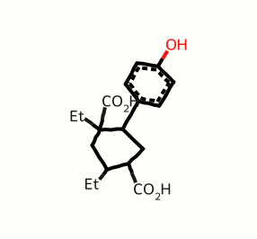 CCC1CC(CC)(C(=O)O)C(c2ccc(O)cc2)CC1C(=O)O